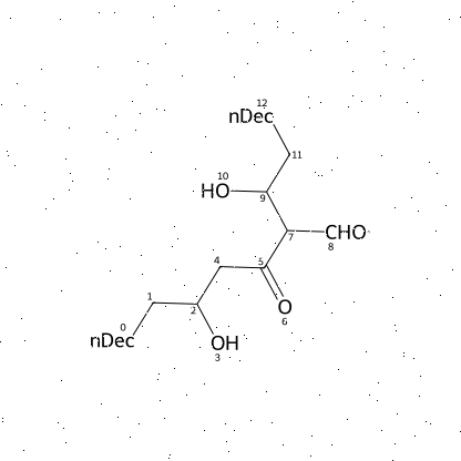 CCCCCCCCCCCC(O)CC(=O)C([C]=O)C(O)CCCCCCCCCCC